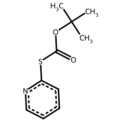 CC(C)(C)OC(=O)Sc1ccccn1